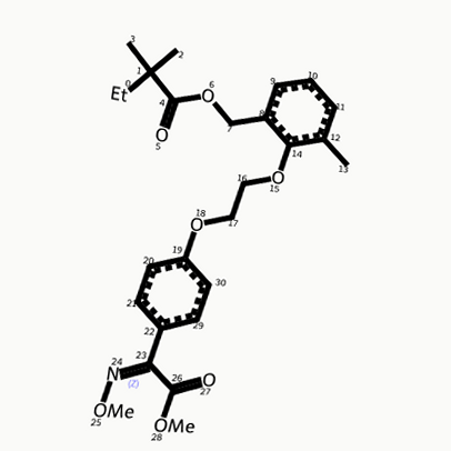 CCC(C)(C)C(=O)OCc1cccc(C)c1OCCOc1ccc(/C(=N/OC)C(=O)OC)cc1